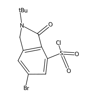 CC(C)(C)N1Cc2cc(Br)cc(S(=O)(=O)Cl)c2C1=O